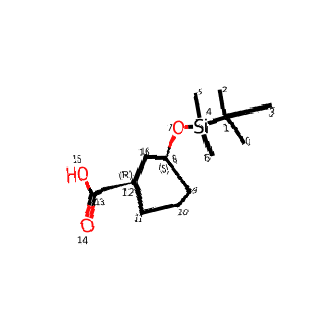 CC(C)(C)[Si](C)(C)O[C@H]1CCC[C@@H](C(=O)O)C1